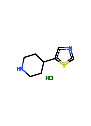 Cl.c1ncc(C2CCNCC2)s1